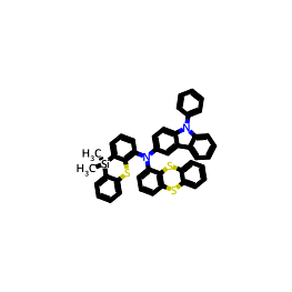 C[Si]1(C)c2ccccc2Sc2c(N(c3ccc4c(c3)c3ccccc3n4-c3ccccc3)c3cccc4c3Sc3ccccc3S4)cccc21